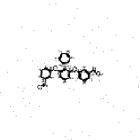 O=Cc1cccc(Oc2cccc(Oc3cccc(C=O)c3)c2)c1.c1ccccc1